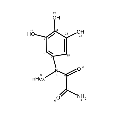 CCCCCCN(C(=O)C(N)=O)c1cc(O)c(O)c(O)c1